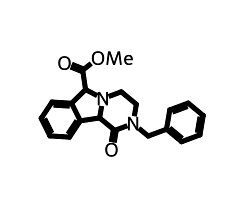 COC(=O)C1c2ccccc2C2C(=O)N(Cc3ccccc3)CCN12